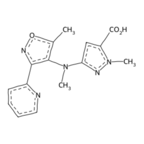 Cc1onc(-c2ccccn2)c1N(C)c1cc(C(=O)O)n(C)n1